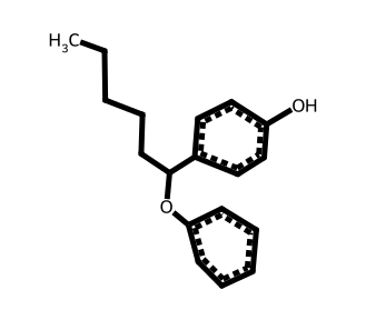 CCCCCC(Oc1ccccc1)c1ccc(O)cc1